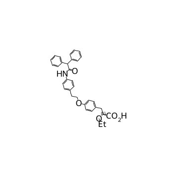 CCO[C@@H](Cc1ccc(OCCc2ccc(NC(=O)C(c3ccccc3)c3ccccc3)cc2)cc1)C(=O)O